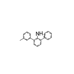 Cc1cccc(-c2cccc(-c3ccccc3)c2N)c1